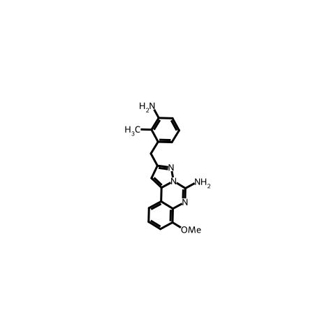 COc1cccc2c1nc(N)n1nc(Cc3cccc(N)c3C)cc21